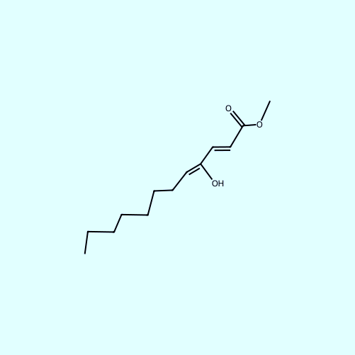 CCCCCCCC=C(O)/C=C/C(=O)OC